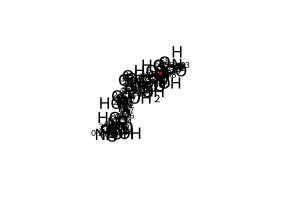 CNc1ccc(N=Nc2c(S(=O)(=O)O)cc3ccc(N=Nc4c(S(=O)(=O)O)cc5cc(S(=O)(=O)O)c(N=Nc6ccc7c(O)c(N=Nc8ccc(NC(C)=O)cc8S(=O)(=O)O)c(S(=O)(=O)O)cc7c6S(=O)(=O)O)c(N)c5c4O)cc3c2O)c(S(=O)(=O)O)c1